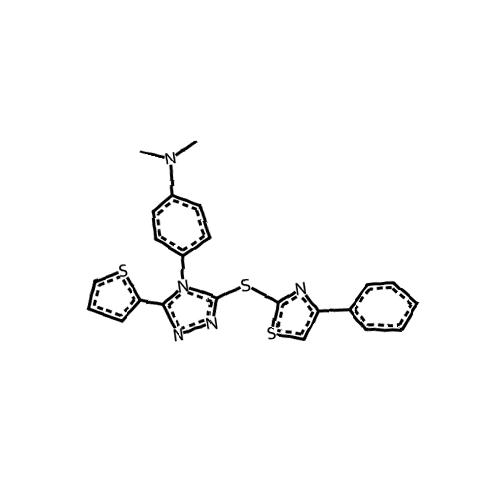 CN(C)c1ccc(-n2c(Sc3nc(-c4ccccc4)cs3)nnc2-c2cccs2)cc1